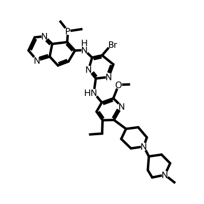 CCc1cc(Nc2ncc(Br)c(Nc3ccc4nccnc4c3P(C)C)n2)c(OC)nc1C1CCN(C2CCN(C)CC2)CC1